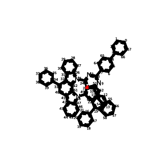 c1ccc(-c2ccc(-c3nc(-c4cccc(-c5ccccc5)c4)nc(-n4c5ccccc5c5c(-c6ccccc6)cc6c7ccccc7n(-c7cccc(-c8ccccc8)c7)c6c54)n3)cc2)cc1